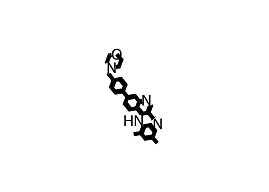 Cc1ccc(Nc2c(C#N)cnc3cc(-c4ccc(CN5CCOCC5)cc4)ccc23)c(C)c1